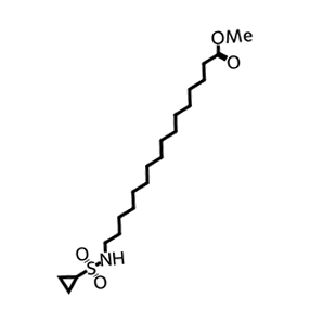 COC(=O)CCCCCCCCCCCCCCCNS(=O)(=O)C1CC1